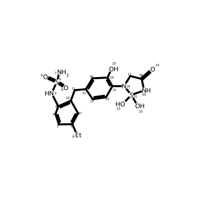 CCc1ccc(NS(N)(=O)=O)c(Cc2ccc(N3CC(=O)NS3(O)O)c(O)c2)c1